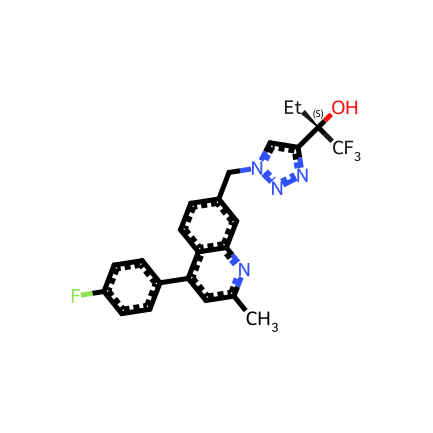 CC[C@](O)(c1cn(Cc2ccc3c(-c4ccc(F)cc4)cc(C)nc3c2)nn1)C(F)(F)F